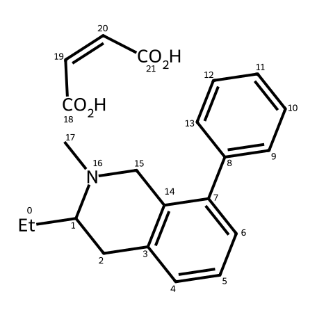 CCC1Cc2cccc(-c3ccccc3)c2CN1C.O=C(O)/C=C\C(=O)O